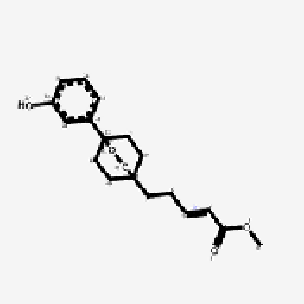 COC(=O)/C=C/CCC12CCC(c3cccc(O)c3)(CC1)OC2